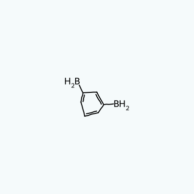 Bc1cccc(B)c1